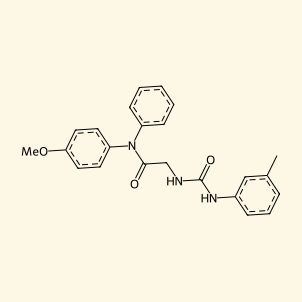 COc1ccc(N(C(=O)CNC(=O)Nc2cccc(C)c2)c2ccccc2)cc1